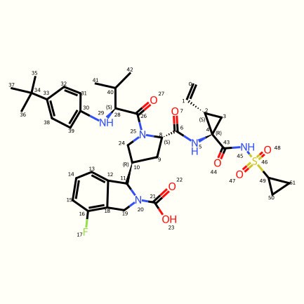 C=C[C@@H]1C[C@]1(NC(=O)[C@@H]1C[C@@H](C2c3cccc(F)c3CN2C(=O)O)CN1C(=O)[C@@H](Nc1ccc(C(C)(C)C)cc1)C(C)C)C(=O)NS(=O)(=O)C1CC1